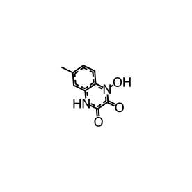 Cc1ccc2c(c1)[nH]c(=O)c(=O)n2O